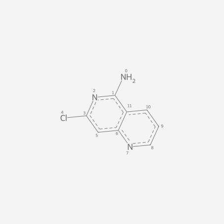 Nc1nc(Cl)cc2ncccc12